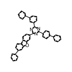 c1ccc(-c2ccc(-c3nc(-c4cccc(-c5ccccc5)c4)nc(-c4ccc5c(c4)oc4cc(-c6ccccc6)ccc45)n3)cc2)cc1